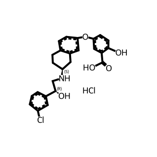 Cl.O=C(O)c1cc(Oc2ccc3c(c2)C[C@@H](NC[C@H](O)c2cccc(Cl)c2)CC3)ccc1O